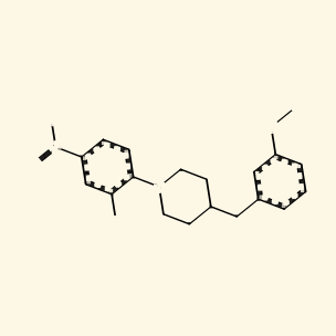 COc1cccc(CC2CCN(c3ccc([N+](=O)[O-])cc3Cl)CC2)c1